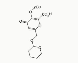 CCCCOc1c(C(=O)O)oc(COC2CCCCO2)cc1=O